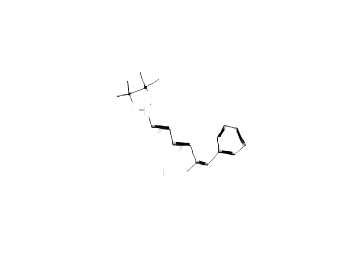 CC1(C)OB(/C=C/C=C/C([SiH3])=C\c2ccccc2)OC1(C)C